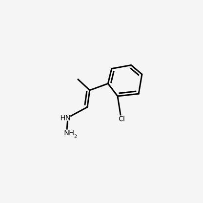 CC(=CNN)c1ccccc1Cl